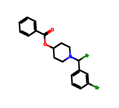 O=C(OC1CCN(C(Br)c2cccc(Br)c2)CC1)c1ccccc1